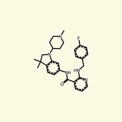 CN1CCC(N2CC(C)(C)c3ccc(NC(=O)c4cccnc4NCc4ccc(F)cc4)cc32)CC1